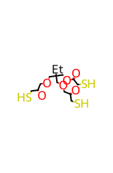 CCC(COCC(=O)CS)(COCC(=O)CS)COC(=O)CS